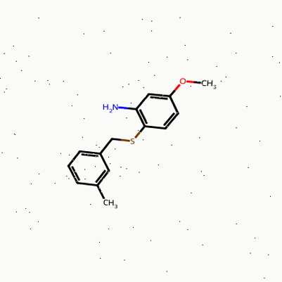 COc1ccc(SCc2cccc(C)c2)c(N)c1